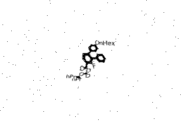 CCCCCCOc1ccc(-c2ccc(C(=O)OC(=O)OC(CCC)CCC)c(F)c2-c2ccccc2)cc1